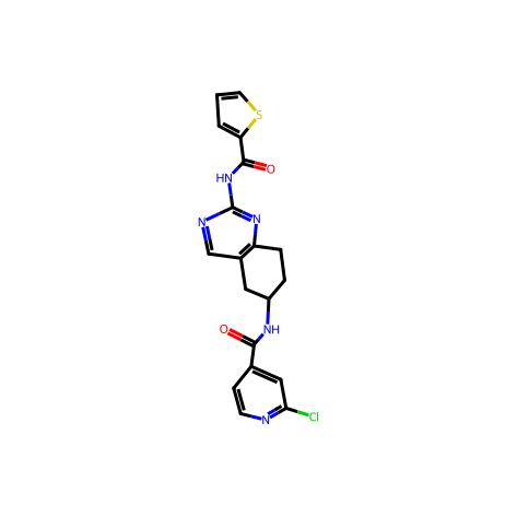 O=C(NC1CCc2nc(NC(=O)c3cccs3)ncc2C1)c1ccnc(Cl)c1